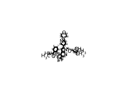 CNC(=O)c1ccccc1Nc1c(C(F)(F)F)cnc2c1cc(-c1ccc(N3CCOCC3)nc1)n2COCC[Si](C)(C)C